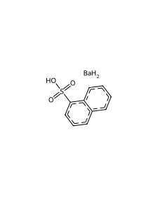 O=S(=O)(O)c1cccc2ccccc12.[BaH2]